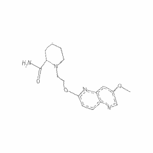 COc1cnc2ccc(OCCN3CC[CH]CC3C(N)=O)nc2c1